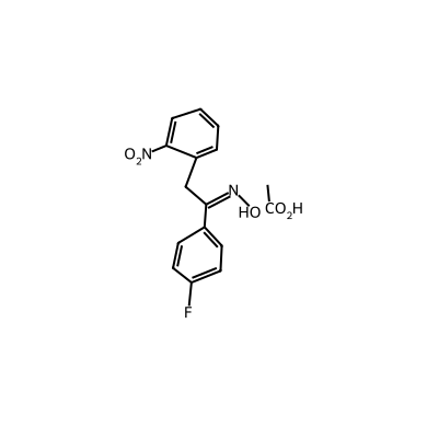 CC(=O)O.O=[N+]([O-])c1ccccc1CC(=NO)c1ccc(F)cc1